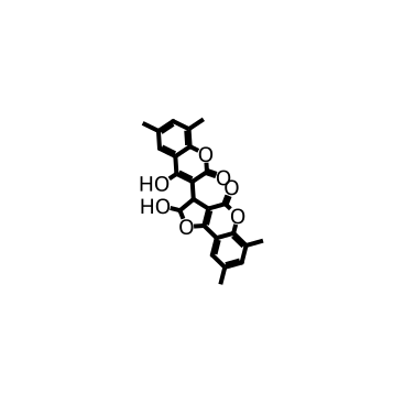 Cc1cc(C)c2oc(=O)c(C3c4c(c5cc(C)cc(C)c5oc4=O)OC3O)c(O)c2c1